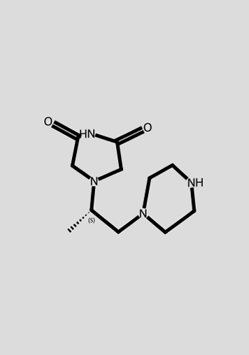 C[C@@H](CN1CCNCC1)N1CC(=O)NC(=O)C1